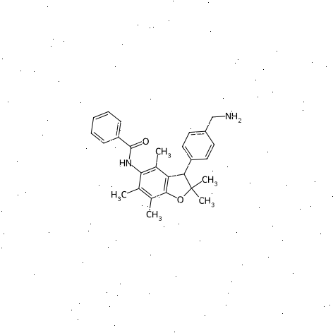 Cc1c(C)c2c(c(C)c1NC(=O)c1ccccc1)C(c1ccc(CN)cc1)C(C)(C)O2